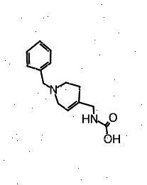 O=C(O)NCC1=CCN(Cc2ccccc2)CC1